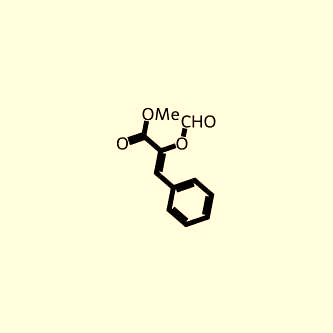 COC(=O)C(=Cc1ccccc1)OC=O